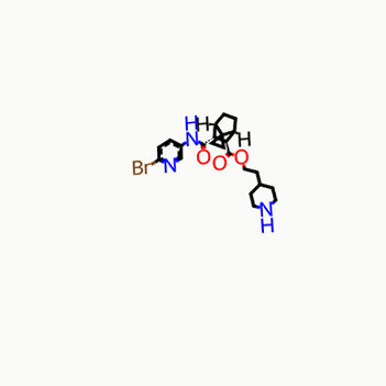 O=C(OCCC1CCNCC1)[C@H]1[C@H](C(=O)Nc2ccc(Br)nc2)[C@@H]2CC[C@H]1C21CC1